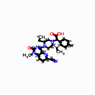 CCC1CN(C(C(=O)O)c2ccc(F)cc2)[C@H](CC)CN1c1nc(=O)n(C)c2ccc(C#N)nc12